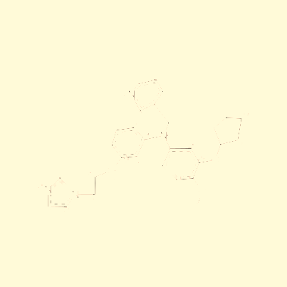 COc1ccc(N(Cc2cccnc2)c2cccc(OCCn3ccnc3)c2)cc1OC1CCCC1